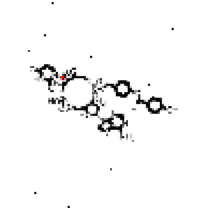 Nc1ncnc2c1ncn2[C@@H]1O[C@@H]2COP(=O)(O)O[C@@H]3[C@H](F)[C@@H](CO[P@@](=O)(SCc4ccc(OC(=O)c5ccc(O)cc5)cc4)O[C@H]2[C@H]1F)O[C@H]3n1ccc(=O)[nH]c1=O